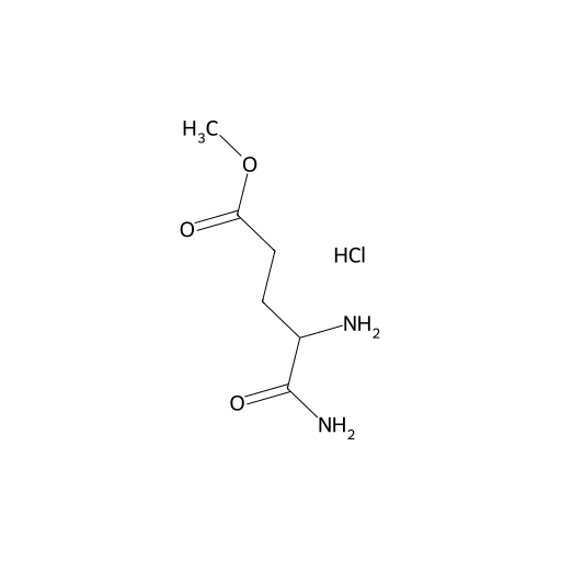 COC(=O)CCC(N)C(N)=O.Cl